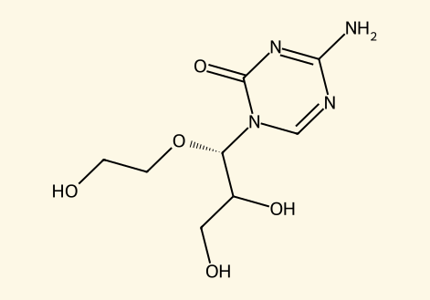 Nc1ncn([C@@H](OCCO)C(O)CO)c(=O)n1